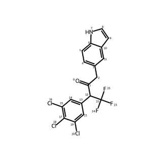 O=C(Cc1ccc2[nH]ccc2c1)C(c1cc(Cl)c(Cl)c(Cl)c1)C(F)(F)F